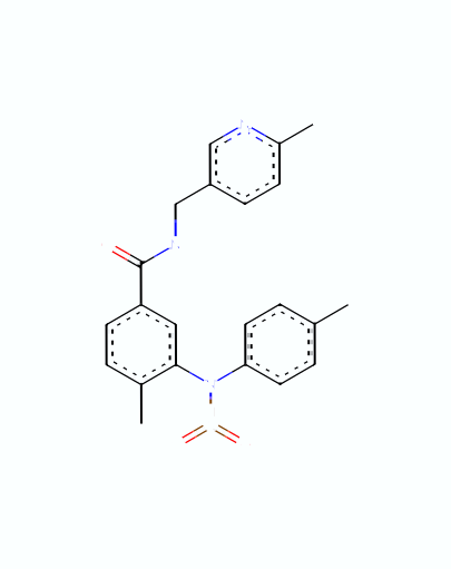 Cc1ccc(N(c2cc(C(=O)NCc3ccc(C)nc3)ccc2C)[SH](=O)=O)cc1